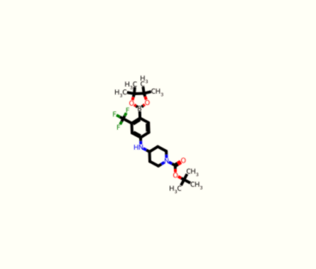 CC(C)(C)OC(=O)N1CCC(Nc2ccc(B3OC(C)(C)C(C)(C)O3)c(C(F)(F)F)c2)CC1